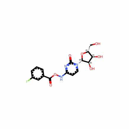 O=C(ONc1ccn([C@@H]2O[C@H](CO)[C@@H](O)[C@H]2O)c(=O)n1)c1cccc(F)c1